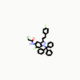 O=C(CCl)Nc1cc2c(C=Cc3ccc(F)cc3)nn(C(c3ccccc3)(c3ccccc3)c3ccccc3)c2cc1F